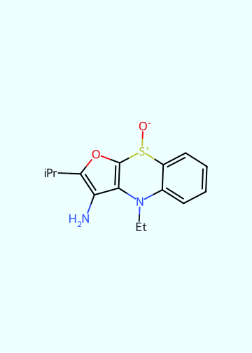 CCN1c2ccccc2[S+]([O-])c2oc(C(C)C)c(N)c21